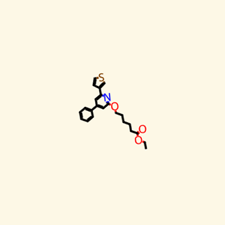 CCOC(=O)CCCCCOc1cc(-c2ccccc2)cc(-c2ccsc2)n1